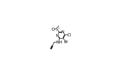 C#CCNc1nc([S+](C)[O-])nc(Cl)c1Br